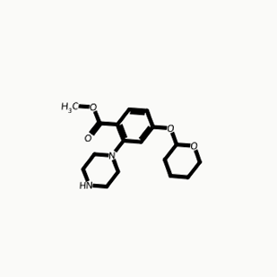 COC(=O)c1ccc(OC2CCCCO2)cc1N1CCNCC1